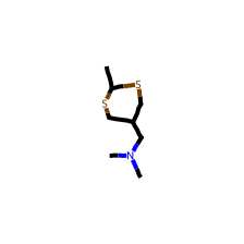 CC1SCC(CN(C)C)CS1